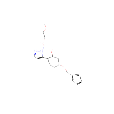 COCCOCn1nccc1C1CCC(OCc2ccccc2)CC1O